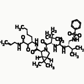 C=CCNC(=O)C(=O)C(CCCC)NC(=O)[C@@H]1[C@@H]2[C@H](CN1C(=O)[C@@H](NC(=O)N[C@H](CNS(=O)(=O)c1ccccc1)C(C)C)C(C)(C)C)C2(C)C